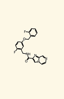 O=C(NCc1cc(OCc2ccccc2F)ccc1F)c1cn2ccncc2n1